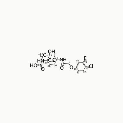 C[C@]1(O)CC2(NC(=O)COc3ccc(Cl)c(F)c3)CCC1(NC(=O)O)CC2